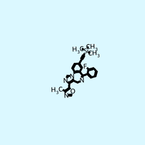 Cc1ncoc1-c1ncn2c1CN=C(c1ccccc1F)c1cc(C#C[Si](C)(C)C)ccc1-2